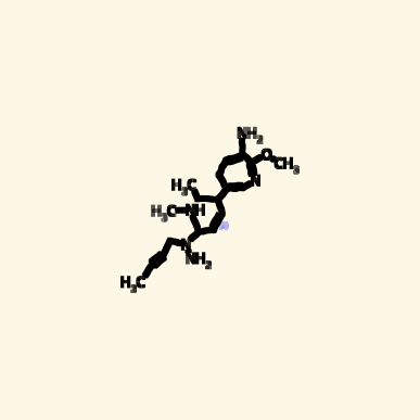 CC#CCN(N)C(/C=C\C(CC)C1=CN=C(OC)C(N)=CC1)NC